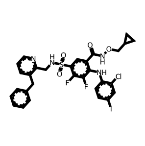 O=C(NOCC1CC1)c1cc(S(=O)(=O)NCc2ncccc2Cc2ccccc2)c(F)c(F)c1Nc1ccc(I)cc1Cl